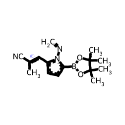 C=Nn1c(/C=C(\C)C#N)ccc1B1OC(C)(C)C(C)(C)O1